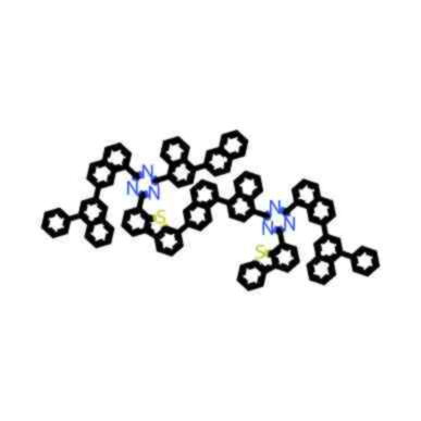 c1ccc(-c2cc(-c3ccc4cccc(-c5nc(-c6ccc(-c7cccc8cc(-c9cccc%10c9sc9c(-c%11nc(-c%12cccc%13ccc(-c%14cc(-c%15ccccc%15)c%15ccccc%15c%14)cc%12%13)nc(-c%12ccc(-c%13ccc%14ccccc%14c%13)c%13ccccc%12%13)n%11)cccc9%10)ccc78)c7ccccc67)nc(-c6cccc7c6sc6ccccc67)n5)c4c3)cc3ccccc23)cc1